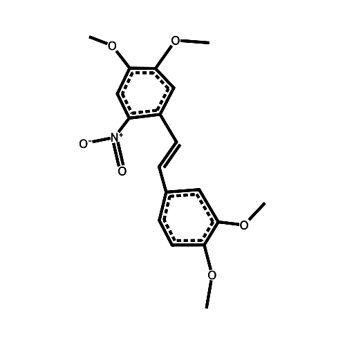 COc1ccc(C=Cc2cc(OC)c(OC)cc2[N+](=O)[O-])cc1OC